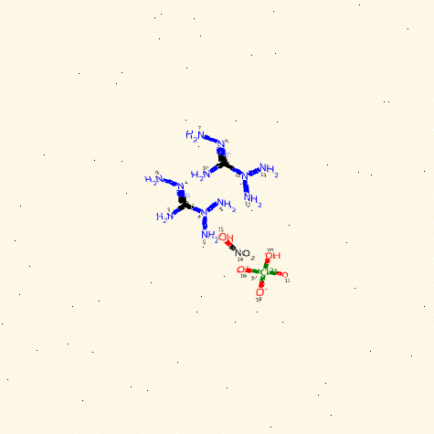 N/N=C(\N)N(N)N.N/N=C(\N)N(N)N.O=[N+]([O-])O.[O-][Cl+3]([O-])([O-])O